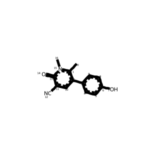 Cc1c(-c2ccc(O)cc2)cc(C#N)c(=O)n1C